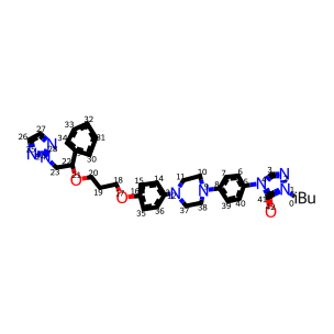 CCC(C)n1ncn(-c2ccc(N3CCN(c4ccc(OCCCOC(Cn5nccn5)c5ccccc5)cc4)CC3)cc2)c1=O